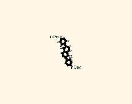 CCCCCCCCCCc1ccc2c(c1)oc1c2ccc2c1ccc1c3ccc(CCCCCCCCCC)cc3sc12